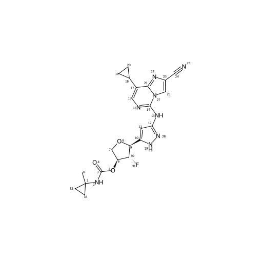 CC1(NC(=O)O[C@H]2CO[C@@H](c3cc(Nc4ncc(C5CC5)c5nc(C#N)cn45)n[nH]3)[C@@H]2F)CC1